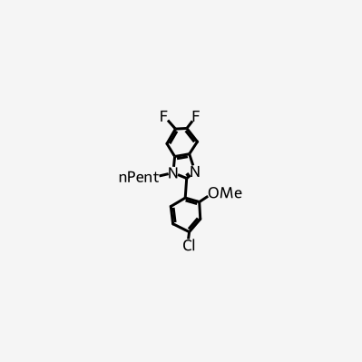 CCCCCn1c(-c2ccc(Cl)cc2OC)nc2cc(F)c(F)cc21